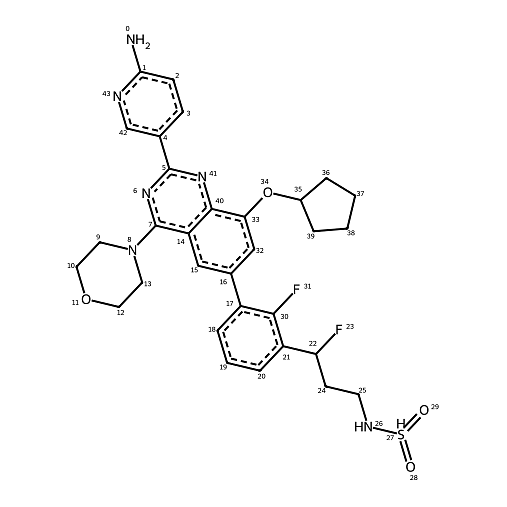 Nc1ccc(-c2nc(N3CCOCC3)c3cc(-c4cccc(C(F)CCN[SH](=O)=O)c4F)cc(OC4CCCC4)c3n2)cn1